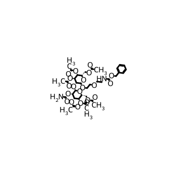 CC(=O)OC[C@@H]1OC(OCCOCCNC(=O)OCc2ccccc2)[C@@H](O[C@H]2O[C@H](COC(C)=O)[C@@H](OC(C)=O)[C@H](OC(C)=O)[C@@H]2OC(N)=O)[C@@H](OC(C)=O)[C@@H]1OC(C)=O